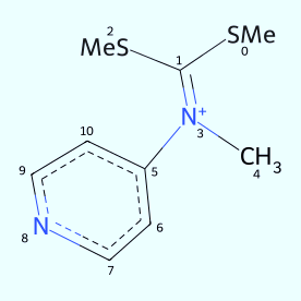 CSC(SC)=[N+](C)c1ccncc1